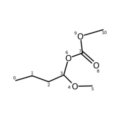 CCCC(OC)OC(=O)OC